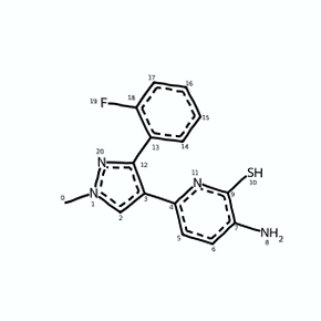 Cn1cc(-c2ccc(N)c(S)n2)c(-c2ccccc2F)n1